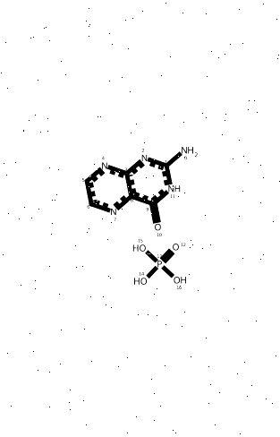 Nc1nc2nccnc2c(=O)[nH]1.O=P(O)(O)O